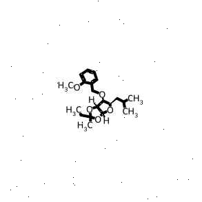 CCC1(C)O[C@H]2O[C@H](CC(C)C)[C@H](OCc3ccccc3OC)[C@H]2O1